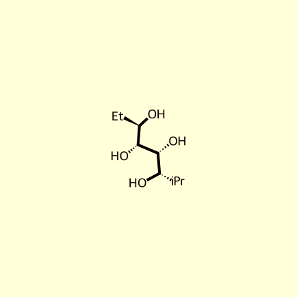 CC[C@@H](O)[C@@H](O)[C@H](O)[C@@H](O)C(C)C